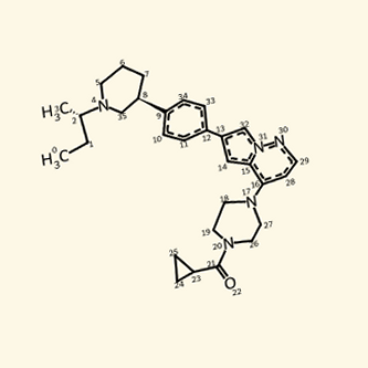 CC[C@H](C)N1CCC[C@@H](c2ccc(-c3cc4c(N5CCN(C(=O)C6CC6)CC5)ccnn4c3)cc2)C1